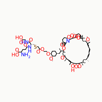 CO[C@H]1C[C@@H]2CC[C@@H](C)[C@@](O)(O2)C(=O)C(=O)N2CCCC[C@H]2C(=O)OC([C@H](C)C[C@@H]2CC[C@@H](OCCOC(=O)CSC[C@H](NC(=O)CC[C@H](N)C(=O)O)C(=O)NCC(=O)O)[C@H](OC)C2)CC(=O)[C@H](C)/C=C(\C)[C@@H](O)[C@@H](OC)C(=O)[C@H](C)C[C@@H](C)\C=C/C=C/C=C/1C